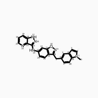 Cn1ccc2cc(Cc3noc4cc(Nc5n[nH]c6cccnc56)ccc34)ccc21